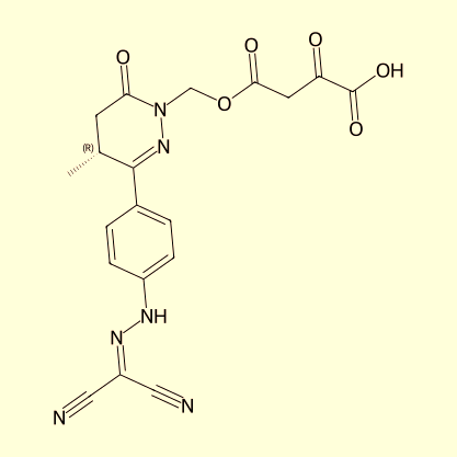 C[C@@H]1CC(=O)N(COC(=O)CC(=O)C(=O)O)N=C1c1ccc(NN=C(C#N)C#N)cc1